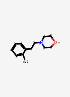 [CH2]Cc1ccccc1CCN1CCOCC1